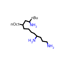 CCCCCCCCC(CCCCC(N)CCCN)CC(N)CCCC